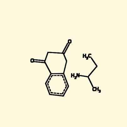 CCC(C)N.O=C1CC(=O)c2ccccc2C1